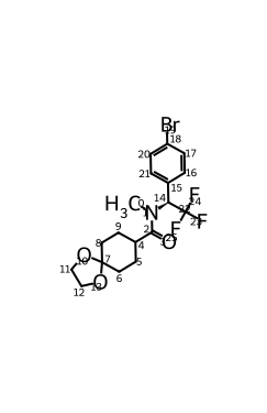 CN(C(=O)C1CCC2(CC1)OCCO2)[C@@H](c1ccc(Br)cc1)C(F)(F)F